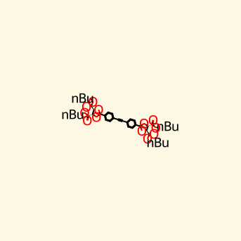 CCCCOC(=O)[C@H]1OC(c2ccc(C#Cc3ccc(C4O[C@H](C(=O)OCCCC)[C@@H](C(=O)OCCCC)O4)cc3)cc2)O[C@@H]1C(=O)OCCCC